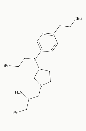 CC(C)CCN(c1ccc(CCC(C)(C)C)cc1)C1CCN(CC(N)CC(C)C)C1